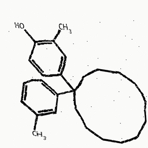 Cc1cccc(C2(c3ccc(O)c(C)c3)CCCCCCCCCCC2)c1